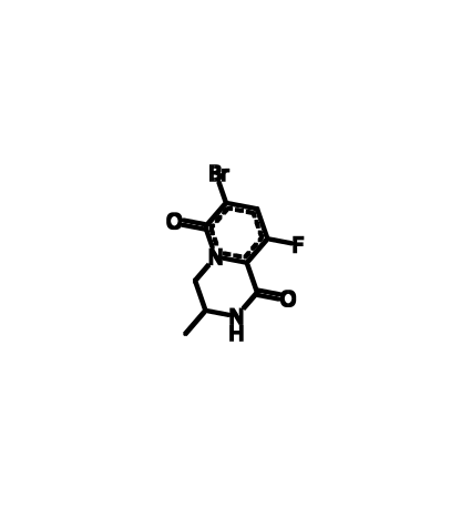 CC1Cn2c(c(F)cc(Br)c2=O)C(=O)N1